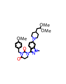 COc1ccc(CN2C(=O)CCN(c3nn(C)c4cc(N5CCC(CC(OC)OC)CC5)ccc34)C2=O)cc1